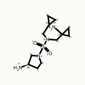 N[C@@H]1CCN(S(=O)(=O)N(CC2CC2)CC2(N)CC2)C1